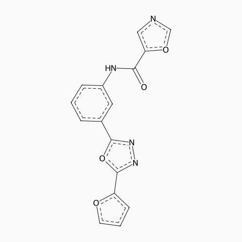 O=C(Nc1cccc(-c2nnc(-c3ccco3)o2)c1)c1cnco1